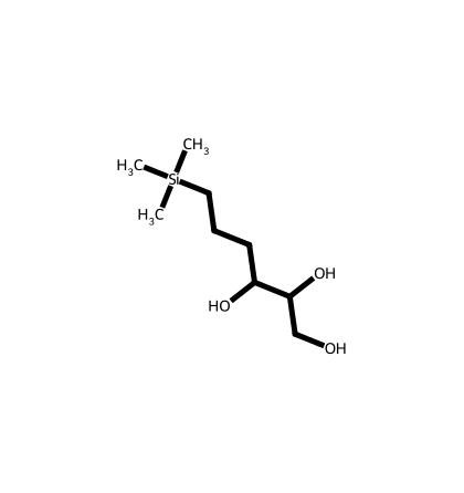 C[Si](C)(C)CCCC(O)C(O)CO